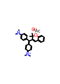 CC(=O)[O-].CN(C)c1ccc(C(C2=Cc3ccccc3OC2(C)C)=C2C=CC(=[N+](C)C)C=C2)cc1